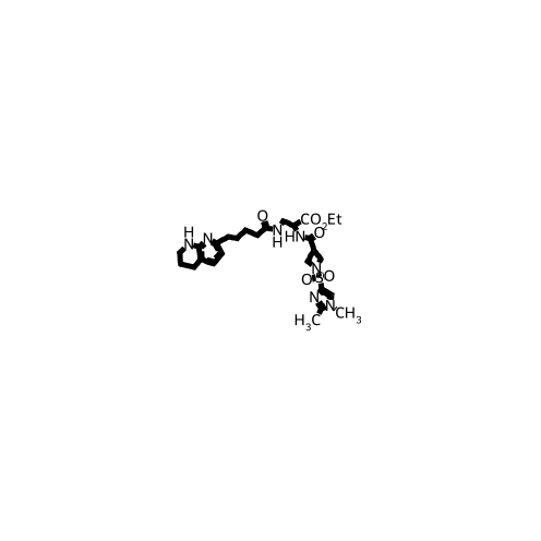 CCOC(=O)C(CNC(=O)CCCCc1ccc2c(n1)NCCC2)NC(=O)C1CN(S(=O)(=O)c2cn(C)c(C)n2)C1